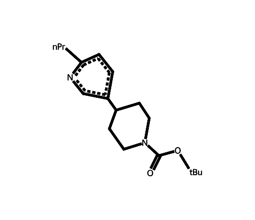 CCCc1ccc(C2CCN(C(=O)OC(C)(C)C)CC2)cn1